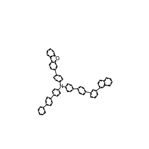 c1ccc(-c2ccc(-c3ccc(N(c4ccc(-c5ccc(-c6cccc(-c7ccc8ccccc8c7)c6)cc5)cc4)c4ccc(-c5ccc6c(c5)oc5ccccc56)cc4)cc3)cc2)cc1